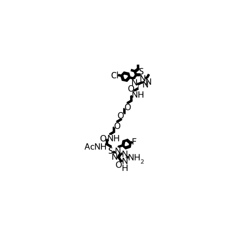 CC(=O)N[C@@H](CSc1nc2c(=O)[nH]c(N)nc2n1Cc1ccc(F)cc1)C(=O)NCCCOCCOCCOCCCNC(=O)C[C@@H]1N=C(c2ccc(Cl)cc2)c2c(sc(C)c2C)-n2c(C)nnc21